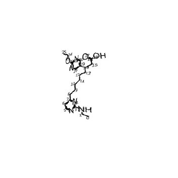 CCNc1nccc(CCCCCC[C@H](CC(=O)O)c2cnc(OCC)nc2)n1